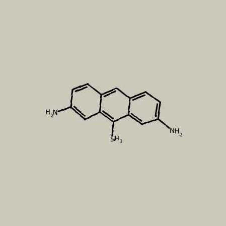 Nc1ccc2cc3ccc(N)cc3c([SiH3])c2c1